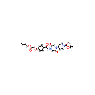 CCCCOC(=O)COc1ccc(C(=O)CN2CC(=O)N(C3CCN(C(=O)OC(C)(C)C)CC3)CC2=O)cc1